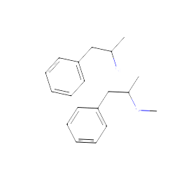 CC(N)Cc1ccccc1.CNC(C)Cc1ccccc1.Cl.Cl